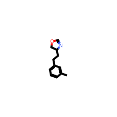 Cc1cccc(CCC2CO[C]=N2)c1